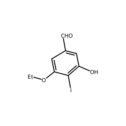 CCOc1cc(C=O)cc(O)c1I